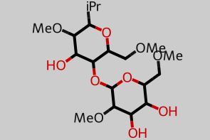 COCC1OC(OC2C(COC)OC(C(C)C)C(OC)C2O)C(OC)C(O)C1O